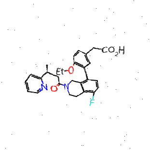 CCOc1ccc(CC(=O)O)cc1-c1ccc(F)c2c1CN(C(=O)C[C@H](C)c1ccccn1)CC2